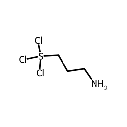 NCCCS(Cl)(Cl)Cl